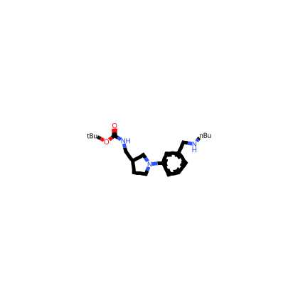 CCCCNCc1cccc(N2CCC(CNC(=O)OC(C)(C)C)C2)c1